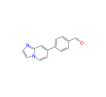 O=Cc1ccc(-c2ccn3ccnc3c2)cc1